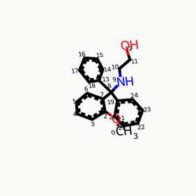 COc1ccccc1C(NCCO)(c1ccccc1)c1ccccc1